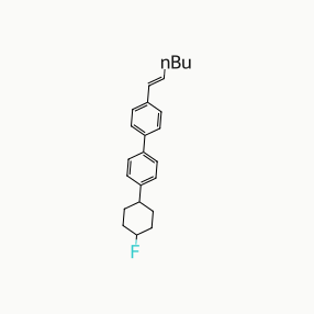 CCCCC=Cc1ccc(-c2ccc(C3CCC(F)CC3)cc2)cc1